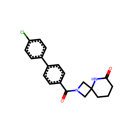 O=C1CCCC2(CN(C(=O)c3ccc(-c4ccc(Cl)cc4)cc3)C2)N1